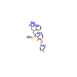 Cc1ccc(COc2ccc3[nH]c(CC(Cc4nnn[nH]4)c4ccccc4)c(SC(C)(C)C)c3c2C)nc1